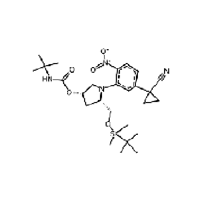 CC(C)(C)NC(=O)O[C@H]1C[C@@H](CO[Si](C)(C)C(C)(C)C)N(c2cc(C3(C#N)CC3)ccc2[N+](=O)[O-])C1